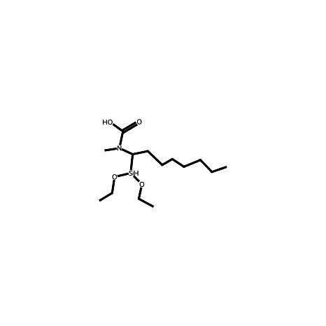 CCCCCCCC(N(C)C(=O)O)[SiH](OCC)OCC